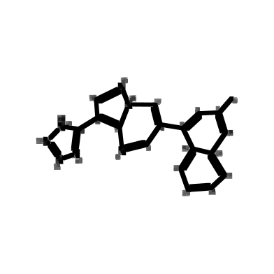 Cc1cc(-c2cnc3c(-c4nnn[nH]4)cnn3c2)c2ccccc2c1